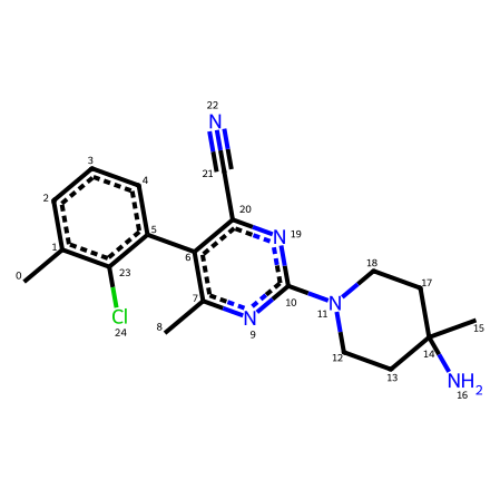 Cc1cccc(-c2c(C)nc(N3CCC(C)(N)CC3)nc2C#N)c1Cl